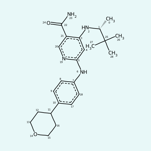 C[C@@H](Nc1cc(Nc2ccc(C3CCOCC3)cc2)ncc1C(N)=O)C(C)(C)C